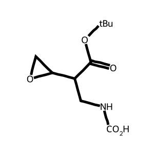 CC(C)(C)OC(=O)C(CNC(=O)O)C1CO1